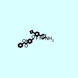 Nc1cnc(-c2ccc(C3CCC3)c(OCc3ccc(C(=O)C(O)c4ccccc4)cc3)c2F)cn1